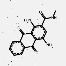 CNC(=O)c1cc(N)c2c(c1N)C(=O)c1ccccc1C2=O